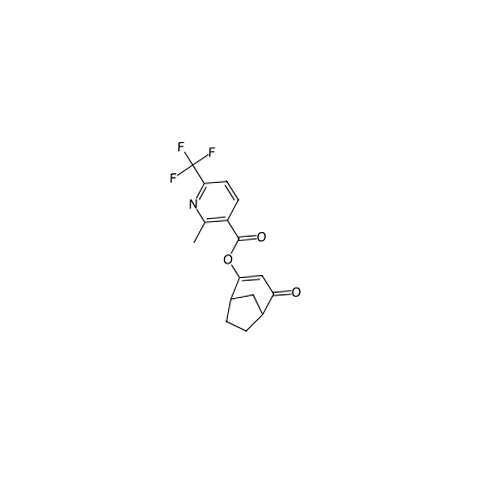 Cc1nc(C(F)(F)F)ccc1C(=O)OC1=CC(=O)C2CCC1C2